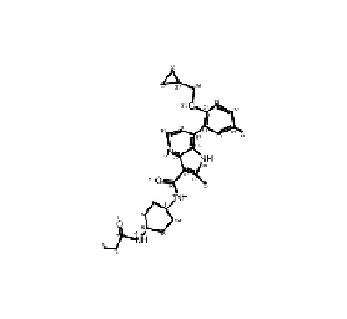 CCC(=O)N[C@H]1CC[C@@H](NC(=O)c2c(C)[nH]c3c(-c4cc(C)ccc4OCC4CC4)ccnc23)CC1